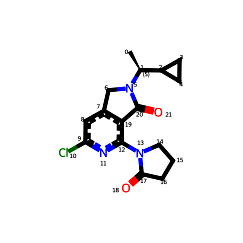 C[C@@H](C1CC1)N1Cc2cc(Cl)nc(N3CCCC3=O)c2C1=O